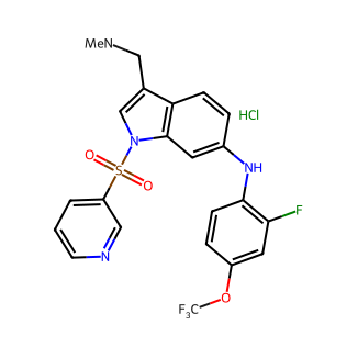 CNCc1cn(S(=O)(=O)c2cccnc2)c2cc(Nc3ccc(OC(F)(F)F)cc3F)ccc12.Cl